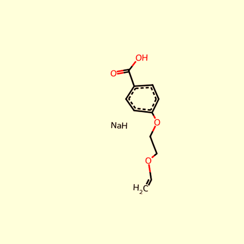 C=COCCOc1ccc(C(=O)O)cc1.[NaH]